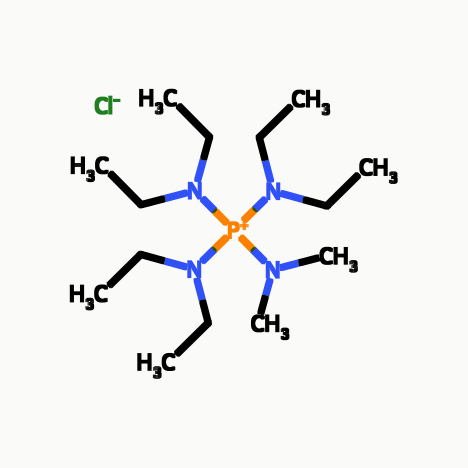 CCN(CC)[P+](N(C)C)(N(CC)CC)N(CC)CC.[Cl-]